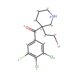 O=C(c1cc(F)c(Cl)c(Cl)c1)C1(CCI)CCCNC1